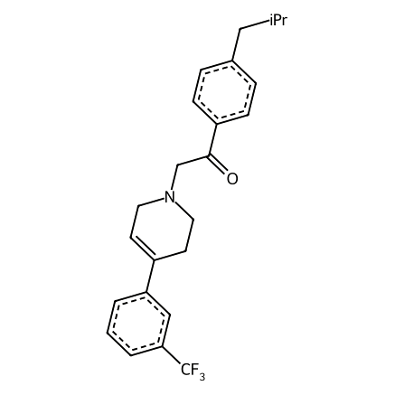 CC(C)Cc1ccc(C(=O)CN2CC=C(c3cccc(C(F)(F)F)c3)CC2)cc1